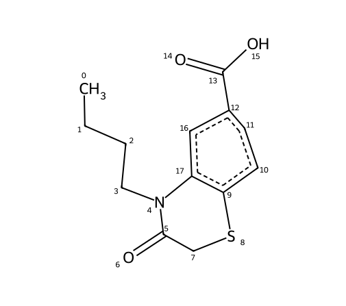 CCCCN1C(=O)CSc2ccc(C(=O)O)cc21